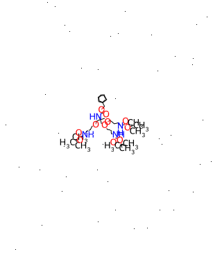 CC(C)(C)OC(=O)NCCCOCC(COCCCNC(=O)OC(C)(C)C)(COCCCNC(=O)OC(C)(C)C)NC(=O)OCc1ccccc1